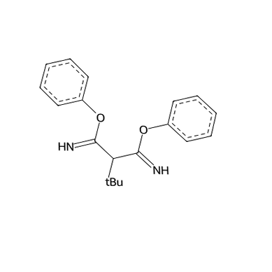 CC(C)(C)C(C(=N)Oc1ccccc1)C(=N)Oc1ccccc1